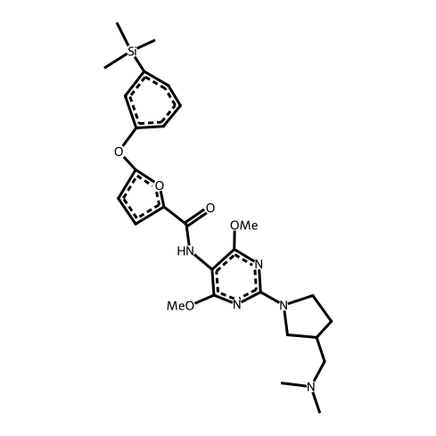 COc1nc(N2CCC(CN(C)C)C2)nc(OC)c1NC(=O)c1ccc(Oc2cccc([Si](C)(C)C)c2)o1